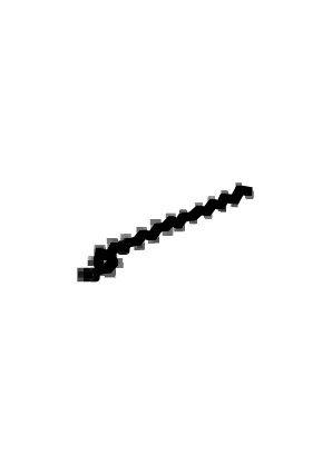 CCCCCCCCCCCCCCCCCCOCc1ccc(O)cc1